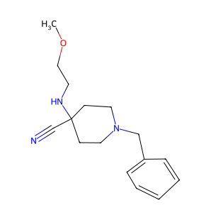 COCCNC1(C#N)CCN(Cc2ccccc2)CC1